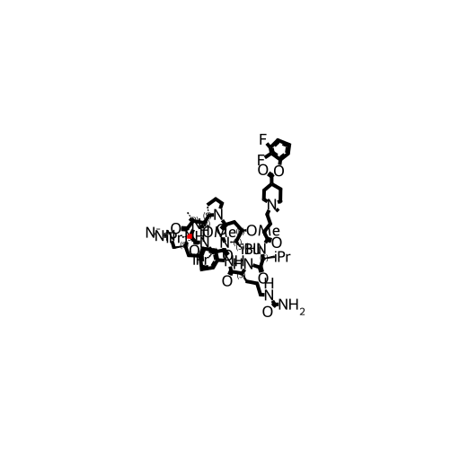 CC[C@H](C)[C@@H]([C@@H](CC(=O)N1CCC[C@H]1[C@H](OC)[C@@H](C)C(=O)N[C@H](CN=[N+]=[N-])Cc1ccc(NC(=O)[C@H](CCCNC(N)=O)NC(=O)[C@@H](NC(=O)CCC[N+]2(C)CCC(C(=O)Oc3cccc(F)c3F)CC2)C(C)C)cc1)OC)N(C)C(=O)[C@@H](NC(=O)[C@H](C(C)C)N(C)C)C(C)C